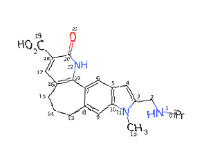 CC(C)NCc1cc2cc3c(cc2n1C)CCCc1cc(C(=O)O)c(=O)[nH]c1-3